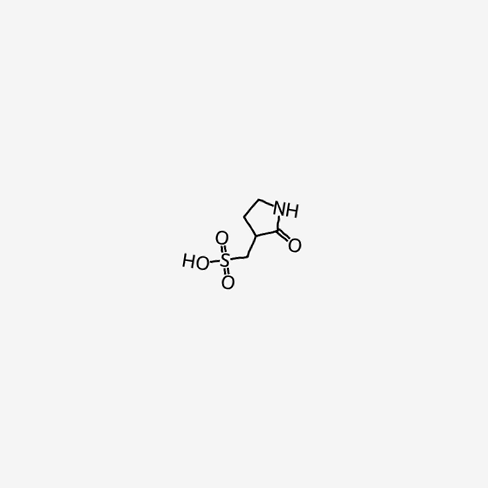 O=C1NCCC1CS(=O)(=O)O